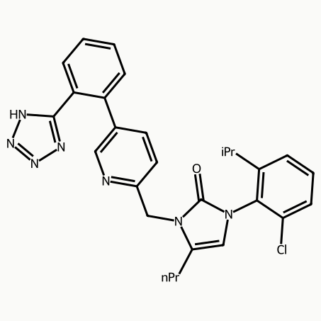 CCCc1cn(-c2c(Cl)cccc2C(C)C)c(=O)n1Cc1ccc(-c2ccccc2-c2nnn[nH]2)cn1